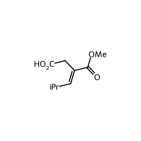 COC(=O)C(=CC(C)C)CC(=O)O